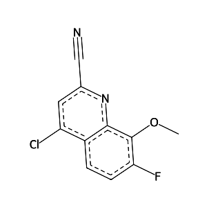 COc1c(F)ccc2c(Cl)cc(C#N)nc12